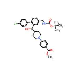 COC(=O)c1ccc(N2CCC([C@@H](O)c3cc(CNC(=O)OC(C)(C)C)ccc3-c3ccc(Cl)cc3)CC2)cc1